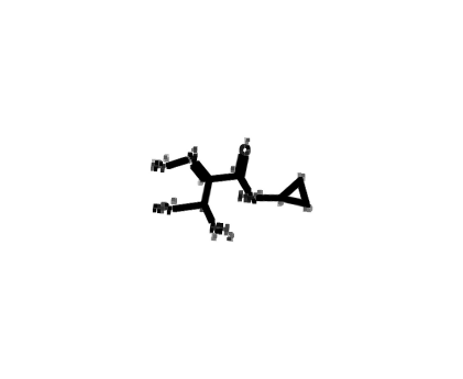 CCCC(N)/C(=N\C(C)C)C(=O)NC1CC1